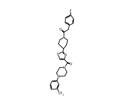 O=C(Cc1ccc(F)cc1)N1CCC(c2nc(C(=O)N3CCN(c4cccc(C(F)(F)F)c4)CC3)cs2)CC1